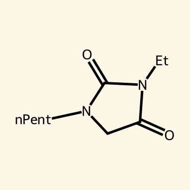 CCCCCN1CC(=O)N(CC)C1=O